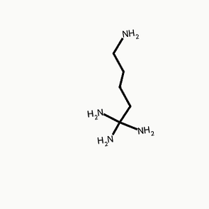 NCCCCC(N)(N)N